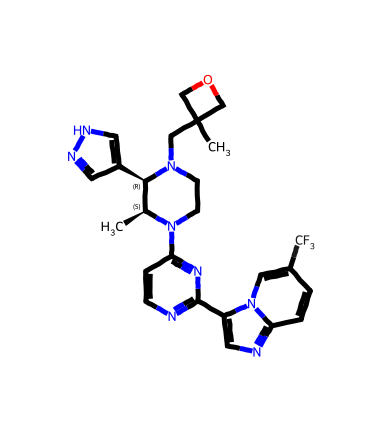 C[C@H]1[C@@H](c2cn[nH]c2)N(CC2(C)COC2)CCN1c1ccnc(-c2cnc3ccc(C(F)(F)F)cn23)n1